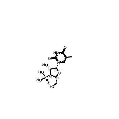 Cc1cn([C@@H]2O[C@H](CO)[C@@H](P(O)(O)=S)[C@@H]2O)c(=O)[nH]c1=O